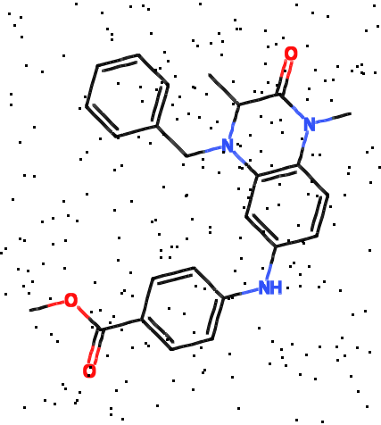 COC(=O)c1ccc(Nc2ccc3c(c2)N(Cc2ccccc2)C(C)C(=O)N3C)cc1